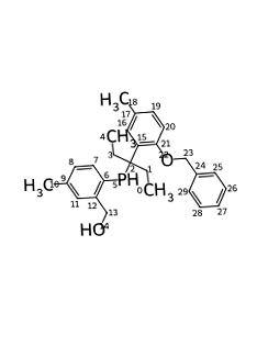 CCC(CC)(Pc1ccc(C)cc1CO)c1cc(C)ccc1OCc1ccccc1